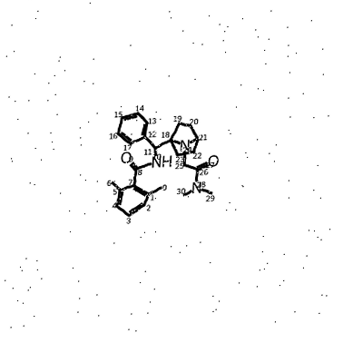 Cc1cccc(C)c1C(=O)NC(c1ccccc1)C12CCC(CC1)N2CC(=O)N(C)C